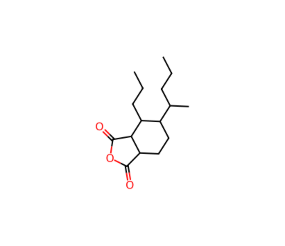 CCCC(C)C1CCC2C(=O)OC(=O)C2C1CCC